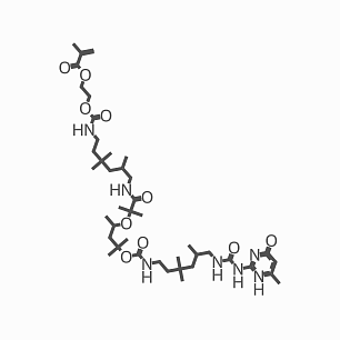 C=C(C)C(=O)OCCOC(=O)NCCC(C)(C)CC(C)CNC(=O)C(C)(C)OC(C)CC(C)(C)OC(=O)NCCC(C)(C)CC(C)CNC(=O)Nc1nc(=O)cc(C)[nH]1